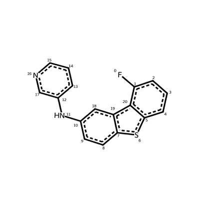 Fc1cccc2sc3ccc(Nc4cccnc4)cc3c12